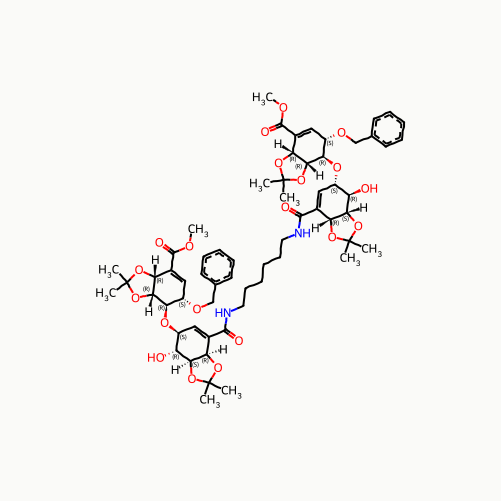 COC(=O)C1=C[C@H](OCc2ccccc2)[C@@H](O[C@H]2C=C(C(=O)NCCCCCCNC(=O)C3=C[C@H](O[C@H]4[C@@H]5OC(C)(C)O[C@@H]5C(C(=O)OC)=C[C@@H]4OCc4ccccc4)[C@@H](O)[C@@H]4OC(C)(C)O[C@H]34)[C@H]3OC(C)(C)O[C@H]3[C@@H]2O)[C@@H]2OC(C)(C)O[C@H]12